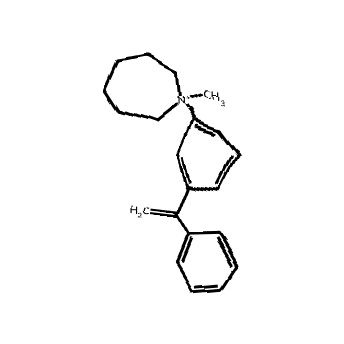 C=C(c1ccccc1)c1cccc([N+]2(C)CCCCCC2)c1